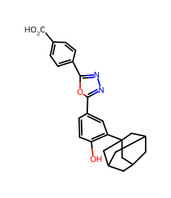 O=C(O)c1ccc(-c2nnc(-c3ccc(O)c(C45CC6CC(CC(C6)C4)C5)c3)o2)cc1